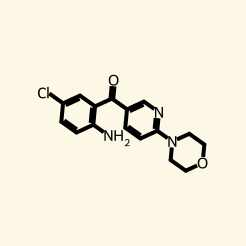 Nc1ccc(Cl)cc1C(=O)c1ccc(N2CCOCC2)nc1